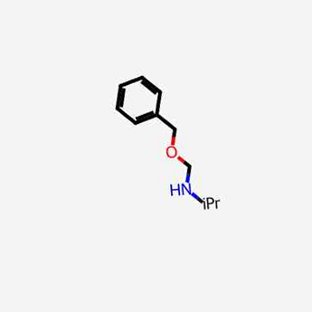 CC(C)NCOCc1ccccc1